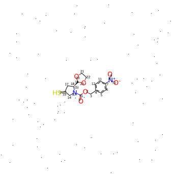 O=C(OCc1ccc([N+](=O)[O-])cc1)N1C[C@@H](S)C[C@H]1C1OCCO1